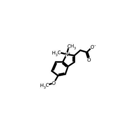 COc1ccc2c(c1)C=C(CC(=O)[O-])[N+]2(C)C